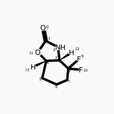 O=C1N[C@H]2[C@H](CCCC2(F)F)O1